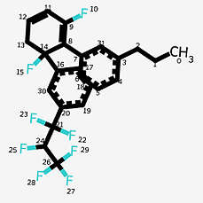 CCCc1cccc(C2=C(F)C=CCC2(F)c2cccc(C(F)(F)C(F)C(F)(F)F)c2)c1